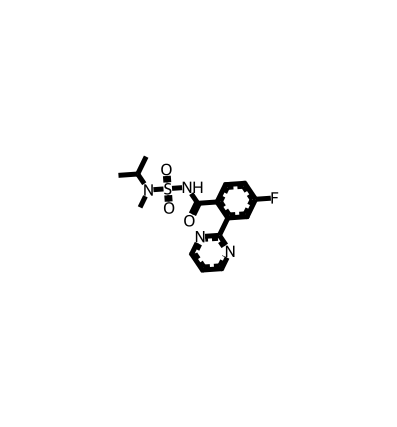 CC(C)N(C)S(=O)(=O)NC(=O)c1ccc(F)cc1-c1ncccn1